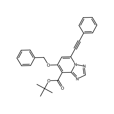 CC(C)(C)OC(=O)c1c(OCc2ccccc2)cc(C#Cc2ccccc2)n2ncnc12